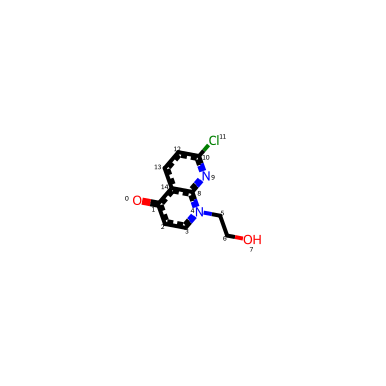 O=c1ccn(CCO)c2nc(Cl)ccc12